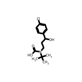 CC(C)(C)N(CCC(O)c1ccc(Cl)cc1)C(=O)O